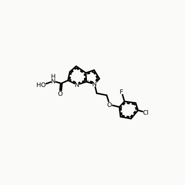 O=C(NO)c1ccc2ccn(CCOc3ccc(Cl)cc3F)c2n1